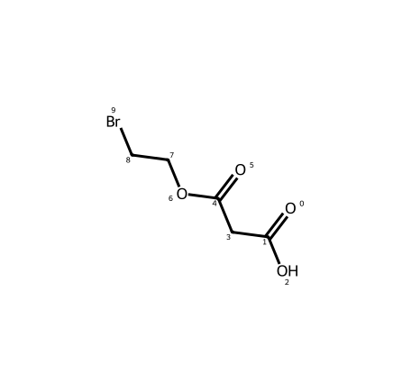 O=C(O)CC(=O)OCCBr